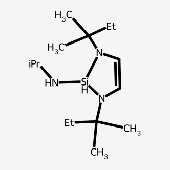 CCC(C)(C)N1C=CN(C(C)(C)CC)[SiH]1NC(C)C